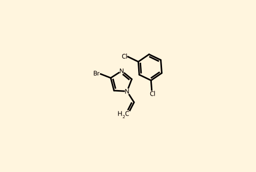 C=Cn1cnc(Br)c1.Clc1cccc(Cl)c1